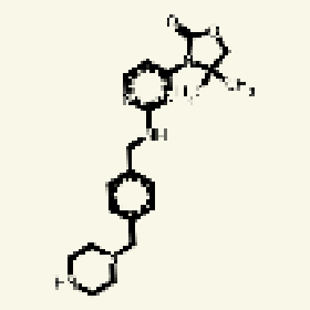 CC1(C)COC(=O)N1c1ccnc(NCc2ccc(CN3CCNCC3)cc2)n1